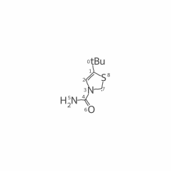 CC(C)(C)C1=CN(C(N)=O)[CH]S1